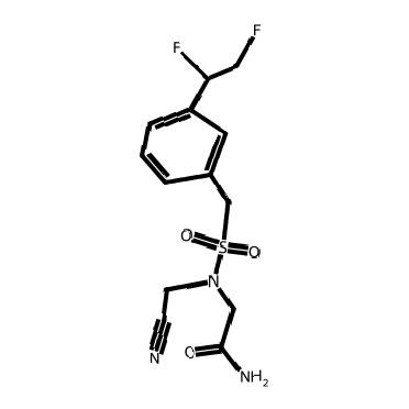 N#CCN(CC(N)=O)S(=O)(=O)Cc1cccc(C(F)CF)c1